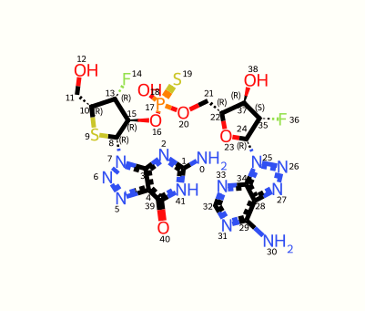 Nc1nc2c(nnn2[C@@H]2S[C@H](CO)[C@H](F)[C@H]2OP(O)(=S)OC[C@H]2O[C@@H](n3nnc4c(N)ncnc43)[C@@H](F)[C@@H]2O)c(=O)[nH]1